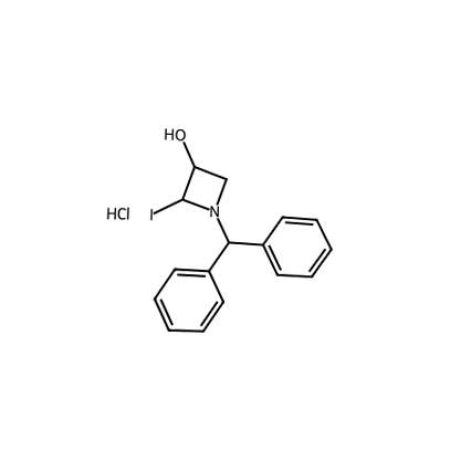 Cl.OC1CN(C(c2ccccc2)c2ccccc2)C1I